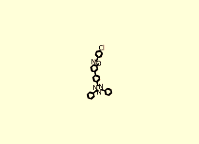 Clc1ccc(-c2nc3ccc(-c4ccc(-c5nc(-c6ccccc6)nc(-c6ccccc6)n5)cc4)cc3o2)cc1